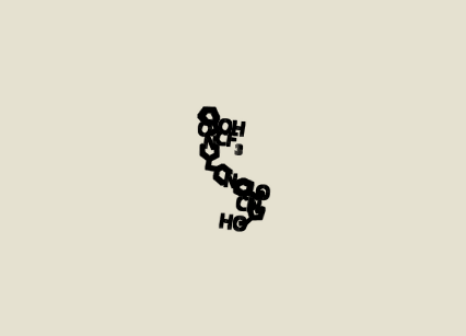 O=C(c1ccc(N2CCC(CC3CCN(C(=O)[C@](O)(c4ccccc4)C(F)(F)F)CC3)CC2)cc1Cl)N1CC[C@@H](CO)C1